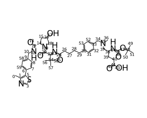 Cc1ncsc1-c1ccc(CNC(=O)[C@@H]2C[C@@H](O)CN2C(=O)[C@@H](NC(=O)CCCCc2ccc(CN(C)C[C@H](CCC(=O)O)NC(=O)OC(C)(C)C)cc2)C(C)(C)C)cc1